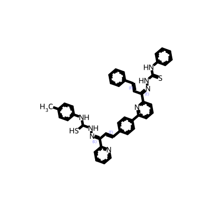 Cc1ccc(NC(S)N/N=C(\C=C\c2ccc(-c3cccc(C(/C=C/c4ccccc4)=N/NC(=S)Nc4ccccc4)n3)cc2)c2ccccn2)cc1